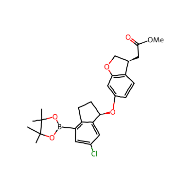 COC(=O)C[C@@H]1COc2cc(O[C@@H]3CCc4c(B5OC(C)(C)C(C)(C)O5)cc(Cl)cc43)ccc21